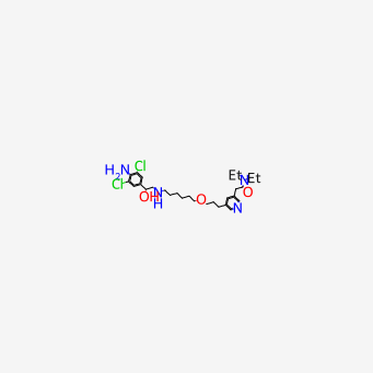 CCN(CC)C(=O)Cc1cncc(CCCOCCCCCCNCC(O)c2cc(Cl)c(N)c(Cl)c2)c1